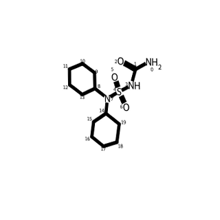 NC(=O)NS(=O)(=O)N(C1CCCCC1)C1CCCCC1